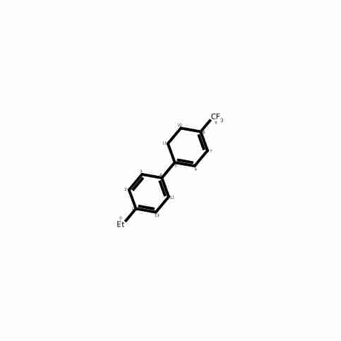 CCc1ccc(C2=CC=C(C(F)(F)F)CC2)cc1